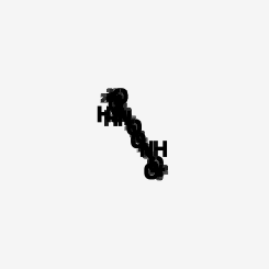 C=C(C)C(=O)OCCCNCCOCCOCCNCC(S)COC(=O)C(=C)C